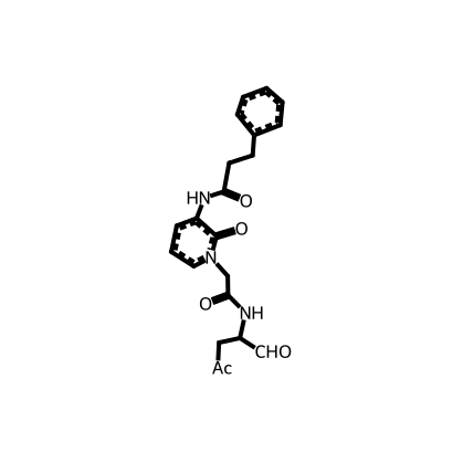 CC(=O)CC(C=O)NC(=O)Cn1cccc(NC(=O)CCc2ccccc2)c1=O